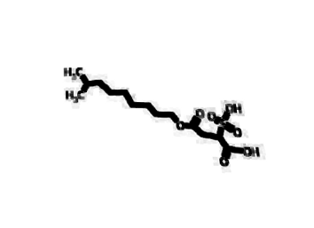 CC(C)CCCCCCCOC(=O)CC(C(=O)O)S(=O)(=O)O